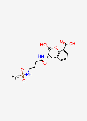 CS(=O)(=O)NCCCC(=O)N[C@H]1Cc2cccc(C(=O)O)c2OB1O